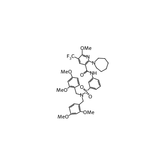 COc1ccc(CN(Cc2ccc(OC)cc2OC)S(=O)(=O)c2cccc(NC(=O)c3cc(C(F)(F)F)c(OC)nc3N3CCCCCC3)c2)c(OC)c1